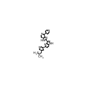 CN(C)Cc1cncc(-c2ccc3[nH]nc(-c4nc5c(-c6ccncc6)nccc5[nH]4)c3n2)c1